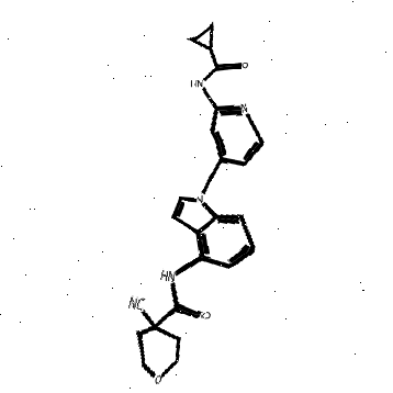 N#CC1(C(=O)Nc2cccc3c2ccn3-c2ccnc(NC(=O)C3CC3)c2)CCOCC1